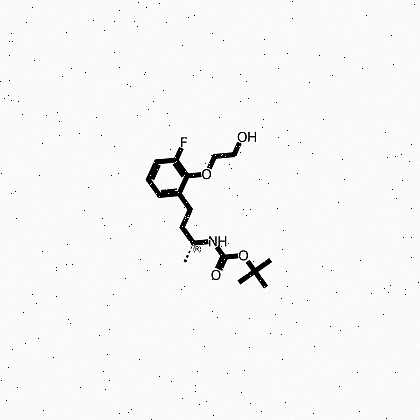 C[C@H](CCc1cccc(F)c1OCCO)NC(=O)OC(C)(C)C